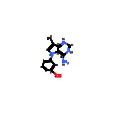 CC(C)c1cn(-c2cccc(O)c2)c2c(N)ncnc12